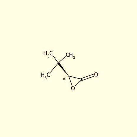 CC(C)(C)[C@@H]1OC1=O